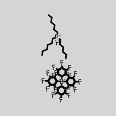 CCCCCC[PH+](CCCCCC)CCCCCC.Fc1c(F)c(F)c([B-](c2c(F)c(F)c(F)c(F)c2F)(c2c(F)c(F)c(F)c(F)c2F)c2c(F)c(F)c(F)c(F)c2F)c(F)c1F